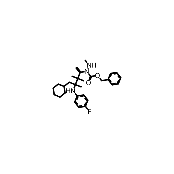 C=C(N(NC)C(=O)OCc1ccccc1)C(C)(C)C(C)(CC1CCCCC1)Nc1ccc(F)cc1